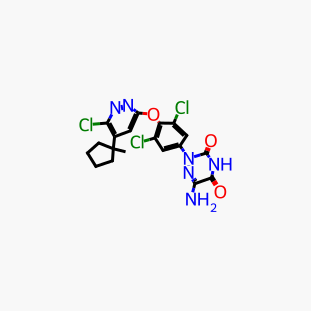 CC1(c2cc(Oc3c(Cl)cc(-n4nc(N)c(=O)[nH]c4=O)cc3Cl)nnc2Cl)CCCC1